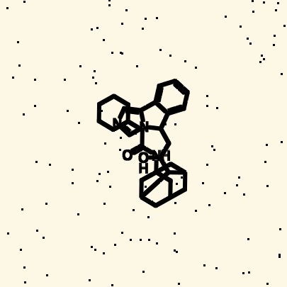 O=C(CC1CCCCC1)NC12CC3CC(C1)C(C(O)CC1c4ccccc4-c4cncn41)C(C3)C2